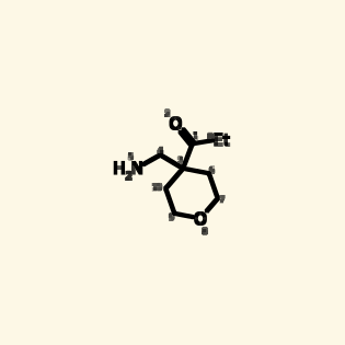 CCC(=O)C1(CN)CCOCC1